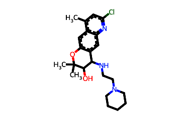 Cc1cc(Cl)nc2cc3c(cc12)OC(C)(C)C(O)C3NCCN1CCCCC1